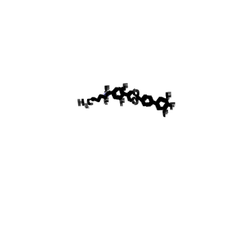 C=CCC/C(F)=C(\F)c1cc(F)c(C2COC(c3ccc(-c4cc(F)c(F)c(F)c4)cc3)OC2)c(F)c1